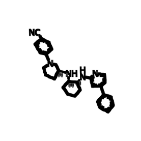 N#Cc1ccc(N2CCC[C@H](N[C@@H]3CCCC[C@H]3Nc3cc(-c4ccccc4)ccn3)C2)cc1